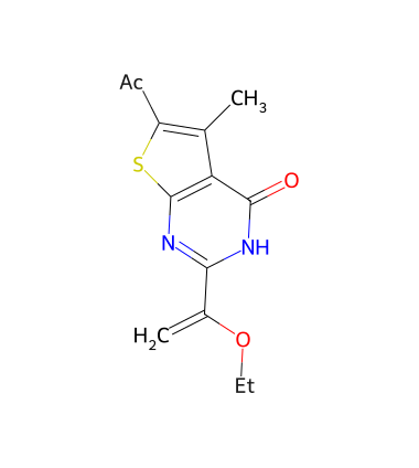 C=C(OCC)c1nc2sc(C(C)=O)c(C)c2c(=O)[nH]1